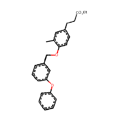 CCOC(=O)CCc1ccc(OCc2cccc(Oc3ccccc3)c2)c(C)c1